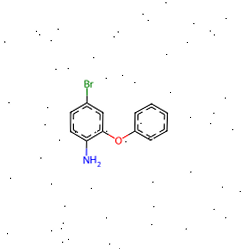 Nc1ccc(Br)cc1Oc1ccccc1